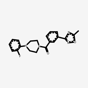 Cc1nc(-c2cccc(C(=O)N3CCN(c4ccccc4F)CC3)c2)no1